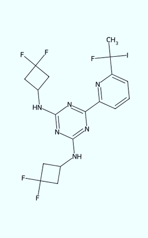 CC(F)(I)c1cccc(-c2nc(NC3CC(F)(F)C3)nc(NC3CC(F)(F)C3)n2)n1